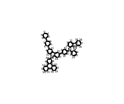 c1ccc(-c2ccc(-c3ccc4c(c3)c3cc(-c5ccc(N(c6ccccc6)c6cccc7c6oc6ccccc67)cc5)ccc3n4-c3ccc4c5ccccc5c5ccccc5c4c3)cc2)cc1